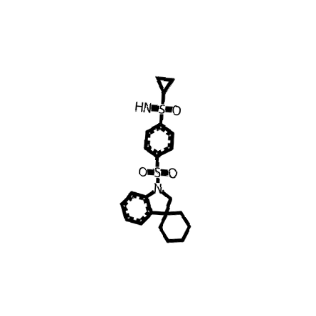 N=S(=O)(c1ccc(S(=O)(=O)N2CC3(CCCCC3)c3ccccc32)cc1)C1CC1